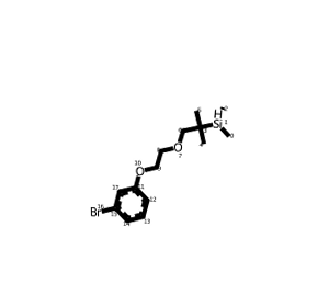 C[SiH](C)C(C)(C)COCCOc1cccc(Br)c1